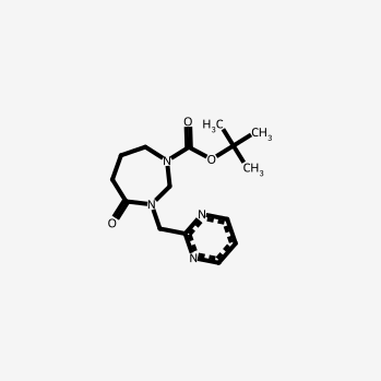 CC(C)(C)OC(=O)N1CCCC(=O)N(Cc2ncccn2)C1